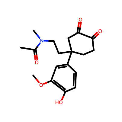 COc1cc(C2(CCN(C)C(C)=O)CCC(=O)C(=O)C2)ccc1O